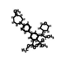 CCN(c1cc(-c2ccc(N3CCCN(C)CC3)nc2)cc(C(=O)OC)c1S(C)(=O)=O)C1CCOCC1